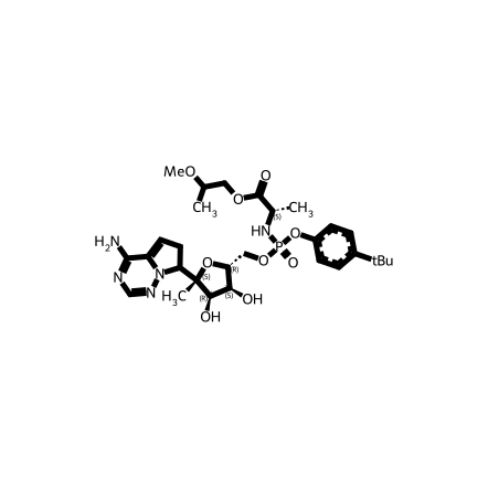 COC(C)COC(=O)[C@H](C)NP(=O)(OC[C@H]1O[C@@](C)(C2CC=C3C(N)=NC=NN32)[C@H](O)[C@@H]1O)Oc1ccc(C(C)(C)C)cc1